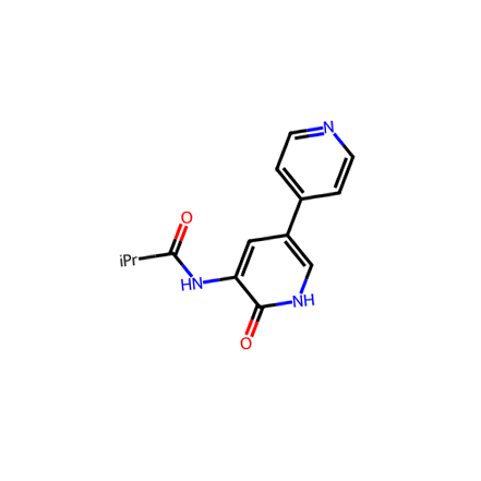 CC(C)C(=O)Nc1cc(-c2ccncc2)c[nH]c1=O